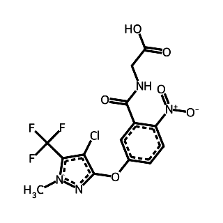 Cn1nc(Oc2ccc([N+](=O)[O-])c(C(=O)NCC(=O)O)c2)c(Cl)c1C(F)(F)F